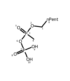 CCCCCCOP(C)(=O)OP(=O)(O)O